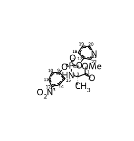 COC(=O)[C@H](C)NP(=O)(Oc1ccc([N+](=O)[O-])cc1)Oc1cccnc1